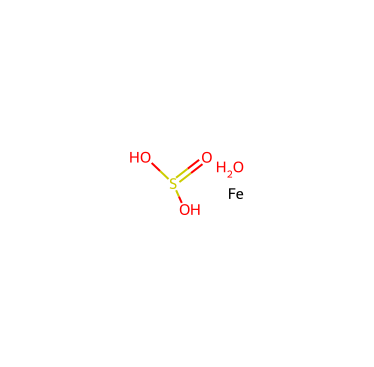 O.O=S(O)O.[Fe]